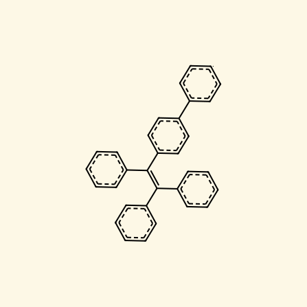 [c]1ccc(-c2ccc(C(=C(c3ccccc3)c3ccccc3)c3ccccc3)cc2)cc1